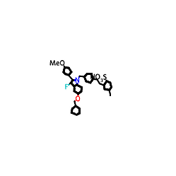 COc1ccc(-c2c(F)c3cc(OCc4ccccc4)ccc3n2Cc2ccc(CCc3cc(C)ccc3S(=O)(=O)O)cc2)cc1